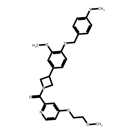 COCCOc1ccnc(C(=O)N2CC(c3ccc(OCc4ccc(SC)cc4)c(OC)c3)C2)c1